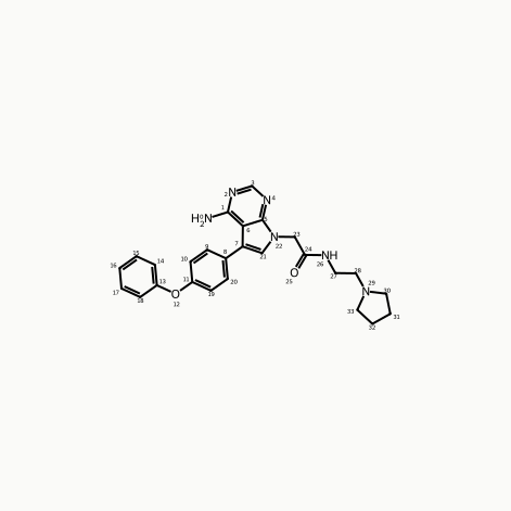 Nc1ncnc2c1c(-c1ccc(Oc3ccccc3)cc1)cn2CC(=O)NCCN1CCCC1